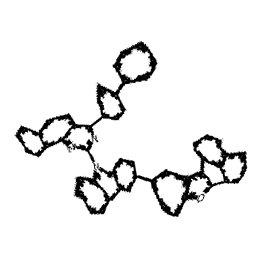 c1ccc(-c2ccc(-c3nc(-n4c5ccccc5c5cc(-c6ccc7oc8c(c7c6)-c6cccc7cccc-8c67)ccc54)nc4c3ccc3ccccc34)cc2)cc1